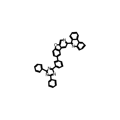 c1ccc(-c2nc(-c3ccccc3)nc(-c3cccc(-c4ccc5oc6cnc(-c7nc8ccccc8c8ccccc78)cc6c5c4)c3)n2)cc1